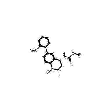 COc1ccccc1-c1ccc2c(c1)[C@H](NC(=O)OC(C)C)C[C@H](C)N2C(C)=O